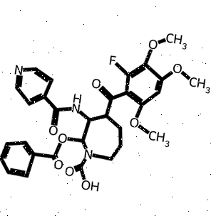 COc1cc(OC)c(C(=O)C2CCCN(C(=O)O)C(OC(=O)c3ccccc3)C2NC(=O)c2ccncc2)c(F)c1OC